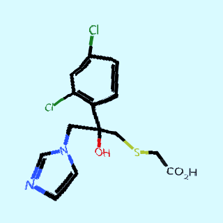 O=C(O)CSCC(O)(Cn1ccnc1)c1ccc(Cl)cc1Cl